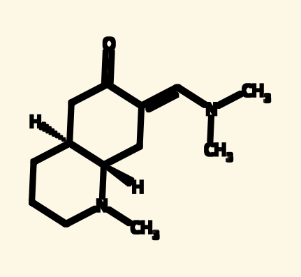 CN(C)C=C1C[C@H]2[C@@H](CCCN2C)CC1=O